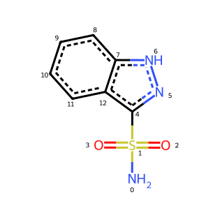 NS(=O)(=O)c1n[nH]c2ccccc12